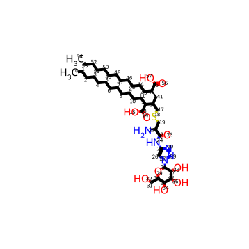 CCCCCCCCCCCCC(C(=O)O)C(CSC[C@@H](N)C(=O)Nc1cn([C@@H]2OC(CO)C(O)C(O)C2O)nn1)C[C@@H](CCCCCCCCCCCC)C(=O)O